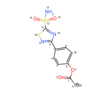 CC(C)(C)C(=O)Oc1ccc(-c2nsc(S(N)(=O)=O)n2)cc1